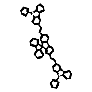 C(=C\c1ccc2c(c1)c1ccccc1p2-c1ccccc1)/c1ccc2c(c1)C1(c3ccccc3-c3ccccc31)c1cc(/C=C/c3ccc4c(c3)c3ccccc3p4-c3ccccc3)ccc1-2